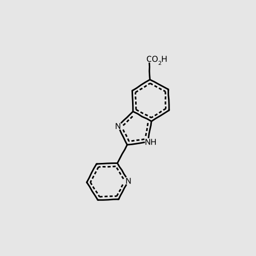 O=C(O)c1ccc2[nH]c(-c3ccccn3)nc2c1